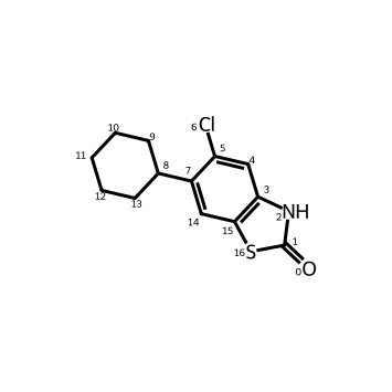 O=c1[nH]c2cc(Cl)c(C3CCCCC3)cc2s1